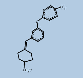 CCOC(=O)C1CCC(=Cc2cccc(Oc3ccc(C(F)(F)F)cn3)c2)CC1